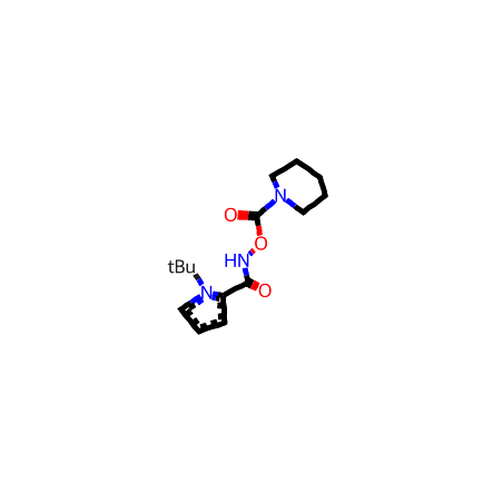 CC(C)(C)n1cccc1C(=O)NOC(=O)N1CCCCC1